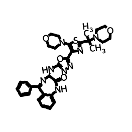 CC(C)(c1nc(-c2nnc(N[C@H]3N=C(c4ccccc4)c4ccccc4NC3=O)o2)c(N2CCOCC2)s1)N1CCOCC1